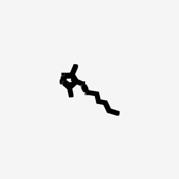 CCCCCN=Nc1c(C)noc1C